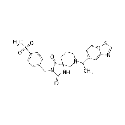 CC(c1ccc2scnc2c1)N1CCCC2(C1)NC(=O)N(Cc1ccc(S(C)(=O)=O)cc1)C2=O